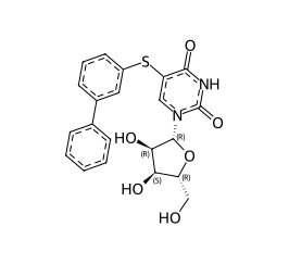 O=c1[nH]c(=O)n([C@@H]2O[C@H](CO)[C@@H](O)[C@H]2O)cc1Sc1cccc(-c2ccccc2)c1